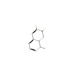 CC1C=CC=C2C=C(F)C(F)CC21